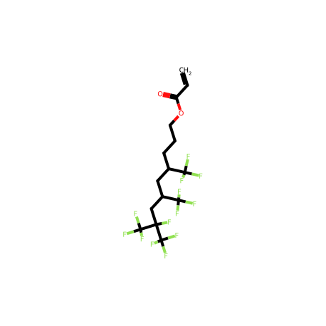 C=CC(=O)OCCCC(CC(CC(F)(C(F)(F)F)C(F)(F)F)C(F)(F)F)C(F)(F)F